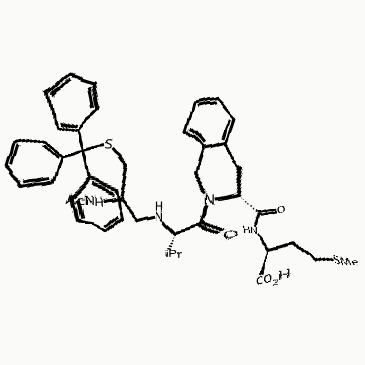 CSCC[C@H](NC(=O)[C@H]1Cc2ccccc2CN1C(=O)[C@@H](NCC(CSC(c1ccccc1)(c1ccccc1)c1ccccc1)NC(C)=O)C(C)C)C(=O)O